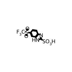 O=S(=O)(O)c1nc2ccc(S(=O)(=O)C(F)(F)F)cc2[nH]1